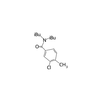 CCC(C)N(C(=O)c1ccc(C)c(Cl)c1)C(C)CC